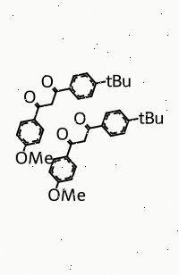 COc1ccc(C(=O)CC(=O)c2ccc(C(C)(C)C)cc2)cc1.COc1ccc(C(=O)CC(=O)c2ccc(C(C)(C)C)cc2)cc1